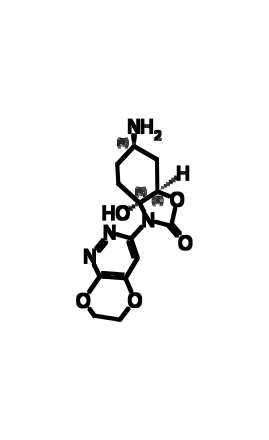 N[C@@H]1CC[C@@]2(O)[C@@H](C1)OC(=O)N2c1cc2c(nn1)OCCO2